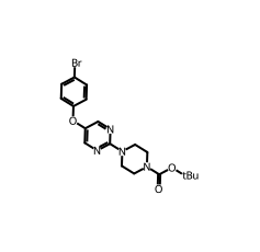 CC(C)(C)OC(=O)N1CCN(c2ncc(Oc3ccc(Br)cc3)cn2)CC1